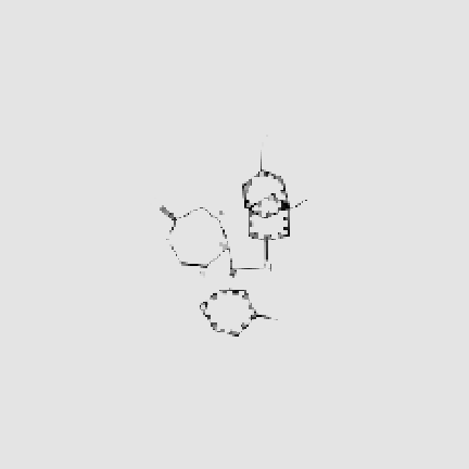 Cc1cccc([C@@H]2CNC(=O)C[C@H](c3cccc(Cl)c3)[C@@]23C(=O)Nc2cc(Cl)ccc23)c1